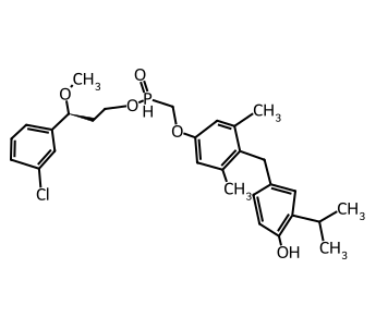 CO[C@@H](CCO[PH](=O)COc1cc(C)c(Cc2ccc(O)c(C(C)C)c2)c(C)c1)c1cccc(Cl)c1